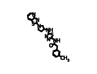 Cc1cccc(CC(=O)Nc2nnc(NC3CCN(c4nc5ncccc5s4)C3)s2)c1